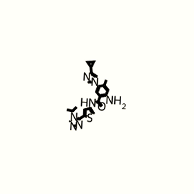 Cc1cc(N)c(C(=O)Nc2csc(-c3nncn3C(C)C)c2)cc1-n1cnc(C2CC2)c1